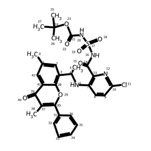 Cc1cc([C@@H](C)Nc2ccc(Cl)nc2C(=O)NS(=O)(=O)NC(=O)OC(C)(C)C)c2oc(-c3ccccc3)c(C)c(=O)c2c1